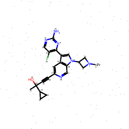 CCCN1CC(n2cc(-c3nc(N)ncc3F)c3cc(C#CC(C)(O)C4CC4)ncc32)C1